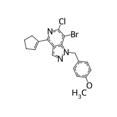 COc1ccc(Cn2ncc3c(C4=CCCC4)nc(Cl)c(Br)c32)cc1